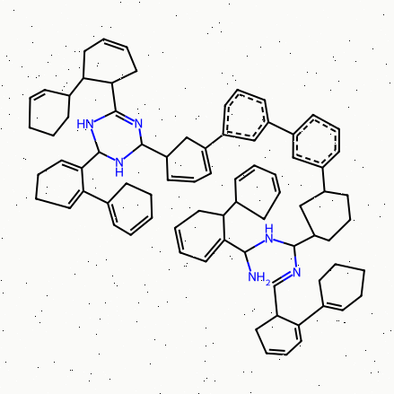 NC(NC(/N=C/C1CC=CC=C1C1=CCCCC1)C1CCCC(c2cccc(-c3cccc(C4=CC=CC(C5N=C(C6CC=CCC6C6C=CCCC6)NC(C6=CCCC=C6C6=CC=CCC6)N5)C4)c3)c2)C1)C1=CC=CCC1C1C=CC=CC1